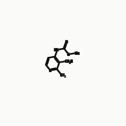 Cc1nccc(NC(=O)OC(C)(C)C)c1C(=O)O